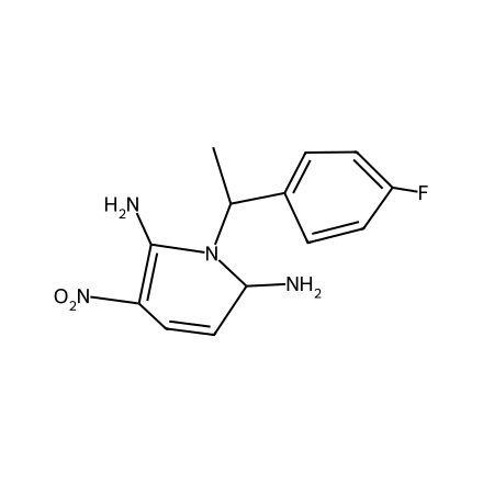 CC(c1ccc(F)cc1)N1C(N)=C([N+](=O)[O-])C=CC1N